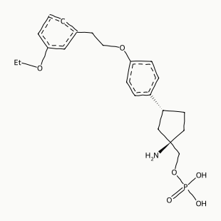 CCOc1cccc(CCOc2ccc([C@@H]3CC[C@](N)(COP(=O)(O)O)C3)cc2)c1